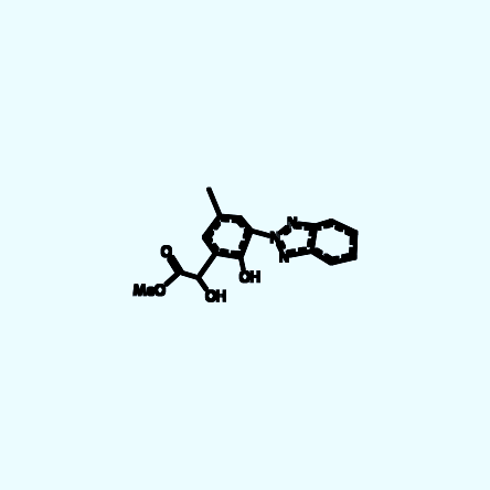 COC(=O)C(O)c1cc(C)cc(-n2nc3ccccc3n2)c1O